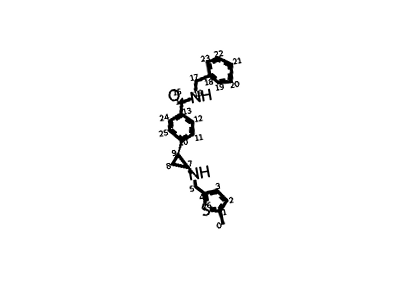 Cc1ccc(CN[C@@H]2C[C@H]2c2ccc(C(=O)NCc3ccccc3)cc2)s1